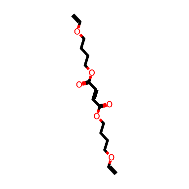 C=COCCCCOC(=O)C=CC(=O)OCCCCOC=C